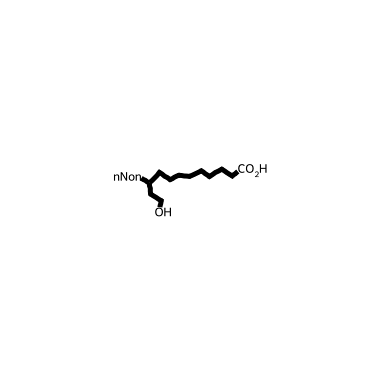 CCCCCCCCCC(CCO)CCCCCCCCC(=O)O